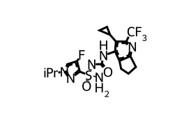 CC(C)n1cc(F)c([S@](N)(=O)=NC(=O)Nc2c3c(nc(C(F)(F)F)c2C2CC2)CCC3)n1